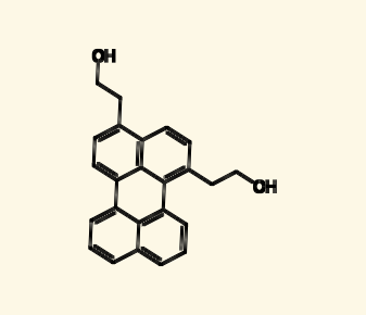 OCCc1ccc2c3cccc4cccc(c5c(CCO)ccc1c25)c43